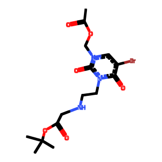 CC(=O)OCn1cc(Br)c(=O)n(CCNCC(=O)OC(C)(C)C)c1=O